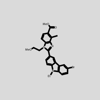 CCn1c2ccc(Br)cc2c2cc(-c3nc4c(C)c(C(=O)OC)ccc4n3CCOC)ccc21